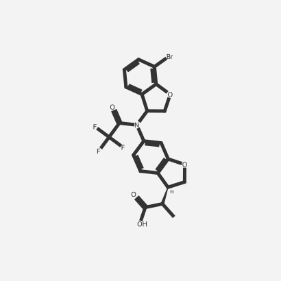 CC(C(=O)O)[C@@H]1COc2cc(N(C(=O)C(F)(F)F)C3COc4c(Br)cccc43)ccc21